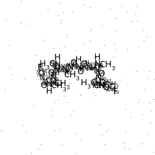 C[C@@H]1CN(CC(=O)N2CC(C)(C)c3[nH]c(=O)c(Cc4ccc(F)cc4)cc32)[C@@H](CN2CCO[C@H](C(=O)NCC(=O)N3CCN(C[C@H]4CN[C@H](C)CN4CC(=O)N4CC(C)(C)c5[nH]c(=O)c(Cc6ccc(F)cc6)cc54)[C@H](C)C3)C2)CN1